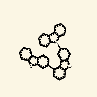 c1cc(-c2ccc3c(c2)sc2ccccc23)c2c(c1)oc1ccc(-n3c4ccccc4c4ccccc43)cc12